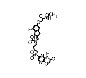 CONC(=O)COc1cc(F)c2c(c1)CC(CN(CCC1CN(c3cnc4c(n3)NC(=O)CO4)C(=O)O1)C(=O)O)C2